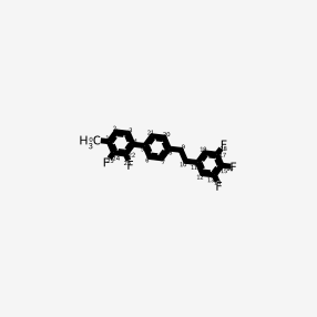 Cc1ccc(-c2ccc(CCc3cc(F)c(F)c(F)c3)cc2)c(F)c1F